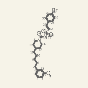 COc1cccc(CCCCCC2CCN(C(=O)NS(=O)(=O)C=Cc3ccc(Br)cc3)CC2)c1